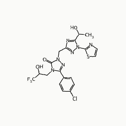 CC(O)c1nc(Cn2nc(-c3ccc(Cl)cc3)n(CC(O)C(F)(F)F)c2=O)nn1-c1nccs1